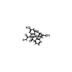 O=C(CI)Nc1cc(O)cc2c1C1(OC(=O)c3ccccc31)c1ccc(O)cc1O2